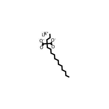 CCCCCCCCCCCCC(CCC)(C(=O)[O-])C(=O)[O-].[K+].[Li+]